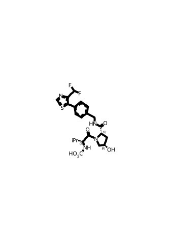 CC(C)[C@H](NC(=O)O)C(=O)N1C[C@H](O)C[C@H]1C(=O)NCc1ccc(-c2scnc2C(F)F)cc1